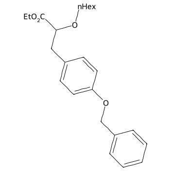 CCCCCCOC(Cc1ccc(OCc2ccccc2)cc1)C(=O)OCC